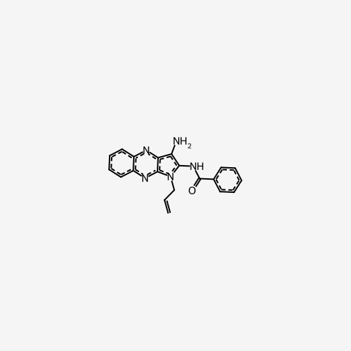 C=CCn1c(NC(=O)c2ccccc2)c(N)c2nc3ccccc3nc21